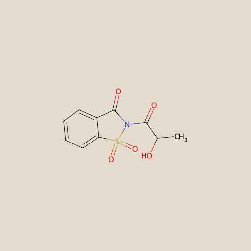 CC(O)C(=O)N1C(=O)c2ccccc2S1(=O)=O